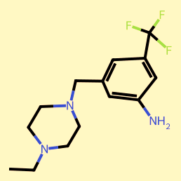 CCN1CCN(Cc2cc(N)cc(C(F)(F)F)c2)CC1